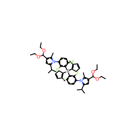 CCOC(OCC)c1cc(C(C)C)n(-c2ccc(F)[c]([Ti]([C]3=C(C)C=CC3)([C]3=C(C)C=CC3)[c]3c(F)ccc(-n4c(C(C)C)cc(C(OCC)OCC)c4C)c3F)c2F)c1C